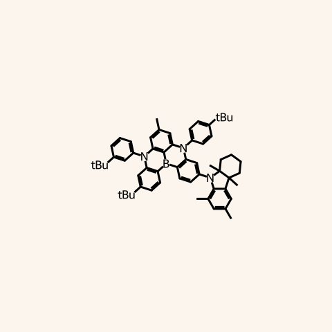 Cc1cc2c3c(c1)N(c1cccc(C(C)(C)C)c1)c1cc(C(C)(C)C)ccc1B3c1ccc(N3c4c(C)cc(C)cc4C4(C)CCCCC34C)cc1N2c1ccc(C(C)(C)C)cc1